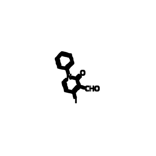 O=Cc1c(I)ccn(-c2ccccc2)c1=O